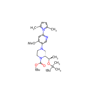 COc1cc(-n2c(C)ccc2C)ncc1N1CCN(C(=O)OC(C)(C)C)[C@@H]([C@@H](C)O[Si](C)(C)C(C)(C)C)C1